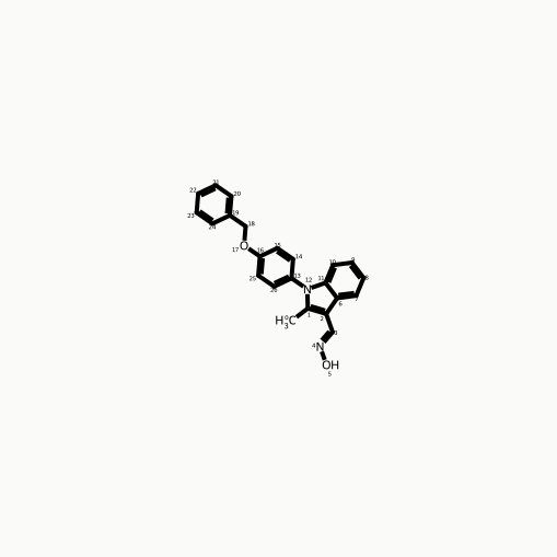 Cc1c(C=NO)c2ccccc2n1-c1ccc(OCc2ccccc2)cc1